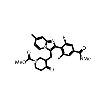 CNC(=O)c1cc(F)c(-c2nc3cc(C)ccn3c2CC2CN(C(=O)OC)CCC2=O)c(F)c1